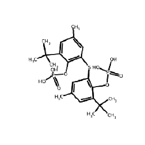 Cc1cc(Sc2cc(C)cc(C(C)(C)C)c2OP(=O)(O)O)c(OP(=O)(O)O)c(C(C)(C)C)c1